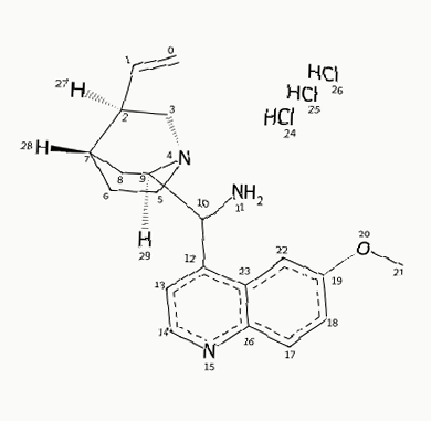 C=C[C@H]1C[N@]2CC[C@H]1C[C@@H]2C(N)c1ccnc2ccc(OC)cc12.Cl.Cl.Cl